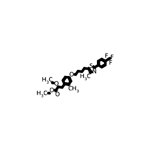 CCOC(=O)C(Cc1ccc(OCCCCc2sc(-c3ccc(C(F)(F)F)cc3)nc2C)cc1C)OCC